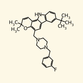 CC1(C)C=Cc2c(c(CN3CCN(Cc4cccc(F)c4)CC3)cc3c2[nH]c2ccc(C(C)(C)C)cc23)O1